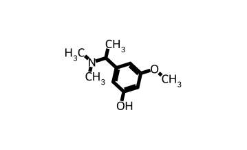 COc1cc(O)cc(C(C)N(C)C)c1